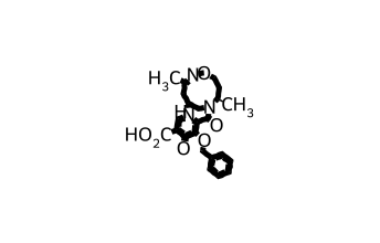 C/C1=N/OCC[C@H](C)N2C[C@H](C1)n1cc(C(=O)O)c(=O)c(OCc3ccccc3)c1C2=O